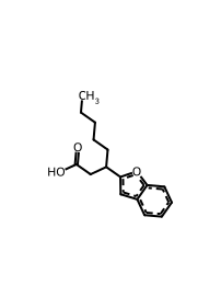 CCCCCC(CC(=O)O)c1cc2ccccc2o1